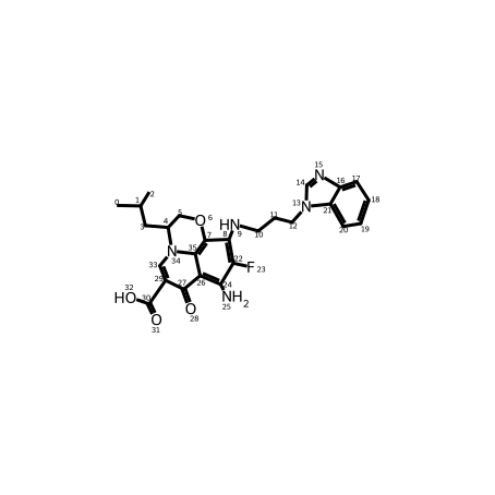 CC(C)CC1COc2c(NCCCn3cnc4ccccc43)c(F)c(N)c3c(=O)c(C(=O)O)cn1c23